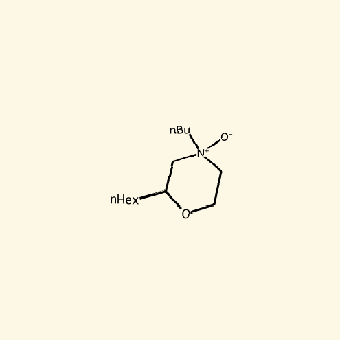 CCCCCCC1C[N+]([O-])(CCCC)CCO1